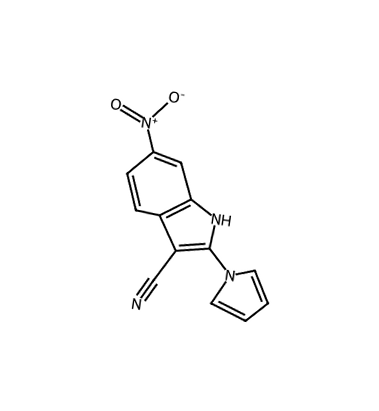 N#Cc1c(-n2cccc2)[nH]c2cc([N+](=O)[O-])ccc12